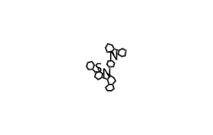 c1ccc2c(c1)ccc1c2c2ccc3c4ccccc4sc3c2n1-c1ccc(-n2c3ccccc3c3ccccc32)cc1